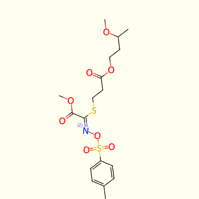 COC(=O)/C(=N/OS(=O)(=O)c1ccc(C)cc1)SCCC(=O)OCCC(C)OC